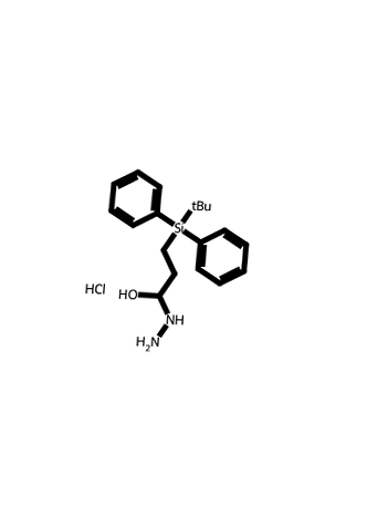 CC(C)(C)[Si](CCC(O)NN)(c1ccccc1)c1ccccc1.Cl